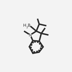 BC1(C(C)C)N(C)c2ccccc2C1(C)C